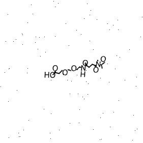 CC(C=O)N(C)C(=O)CCC(=O)NCCOCCOCCC(=O)O